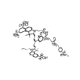 CCCC[N+]1=C(/C=C/C(=C/C=C2/N(CCCS(=O)(=O)O)c3ccc4c(S(=O)(=O)O)cc(S(=O)(=O)O)cc4c3C2(C)C)c2ccc(C(=O)NCCC(=O)NCc3ccc(S(N)(=O)=O)cc3)cn2)C(C)(C)c2c1ccc1ccc(S(=O)(=O)O)cc21